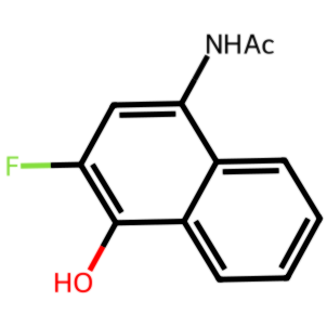 CC(=O)Nc1cc(F)c(O)c2ccccc12